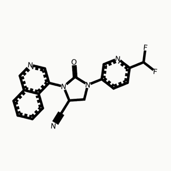 N#CC1CN(c2ccc(C(F)F)nc2)C(=O)N1c1cncc2ccccc12